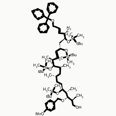 COc1ccc(CO[C@H]([C@@H](C)[C@H](CC[C@H](C)C[C@@H](C)[C@@H](O[Si](C)(C)C(C)(C)C)[C@@H](C)C=C[C@H](C[C@H](O[Si](C)(C)C(C)(C)C)[C@@H](C)C=CCOC(c2ccccc2)(c2ccccc2)c2ccccc2)O[Si](C)(C)C(C)(C)C)O[Si](C)(C)C(C)(C)C)[C@@H](C)CO)cc1